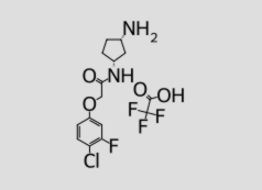 N[C@H]1CC[C@@H](NC(=O)COc2ccc(Cl)c(F)c2)C1.O=C(O)C(F)(F)F